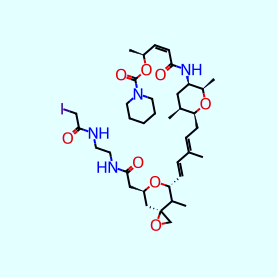 CC(/C=C/[C@H]1O[C@H](CC(=O)NCCNC(=O)CI)C[C@@]2(CO2)C1C)=C\C[C@@H]1O[C@H](C)[C@H](NC(=O)/C=C\[C@H](C)OC(=O)N2CCCCC2)C[C@@H]1C